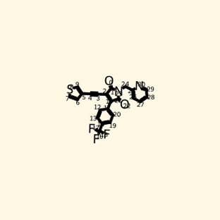 O=C1C(C#Cc2ccsc2)=C(c2ccc(C(F)(F)F)cc2)C(=O)N1Cc1ccccn1